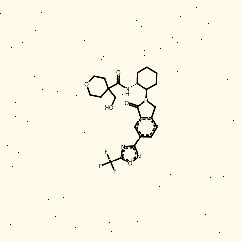 O=C1c2cc(-c3noc(C(F)(F)F)n3)ccc2CN1[C@@H]1CCCC[C@H]1NC(=O)C1(CO)CCOCC1